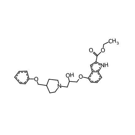 CCOC(=O)c1cc2c(OCC(O)CN3CCC(COc4ccccc4)CC3)cccc2[nH]1